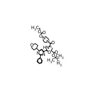 CCOC(=O)ON1CCN(C(=O)[C@H](CCC(=O)OC(C)(C)C)NC(=O)c2cc(C3CCOCC3)nc(-c3ccccc3)n2)CC1